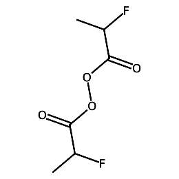 CC(F)C(=O)OOC(=O)C(C)F